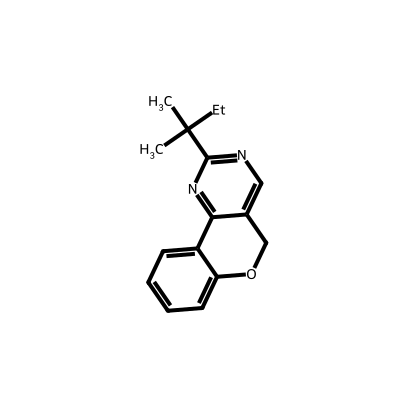 CCC(C)(C)c1ncc2c(n1)-c1ccccc1OC2